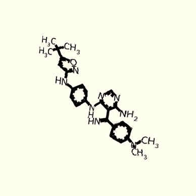 CN(C)c1ccc(C(=N)c2c(N)ncnc2Nc2ccc(Nc3cc(C(C)(C)C)on3)cc2)cc1